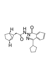 O=C(C[C@H]1C[C@@H]2CC[C@H]1C2)Nn1nc(C2CCCC2)c2ccccc2c1=O